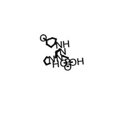 COC1CCC(Nc2cc(N3CCCC3)nc(CP(=O)(O)O)n2)CC1